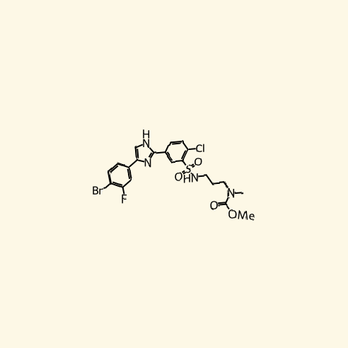 COC(=O)N(C)CCCNS(=O)(=O)c1cc(-c2nc(-c3ccc(Br)c(F)c3)c[nH]2)ccc1Cl